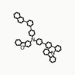 c1cc(-c2ccc(N(c3ccc(-c4ccc(-c5ccccc5-n5c6ccccc6c6ccccc65)cc4)cc3)c3ccc4oc5ccccc5c4c3)cc2)cc(-c2ccc3ccccc3c2)c1